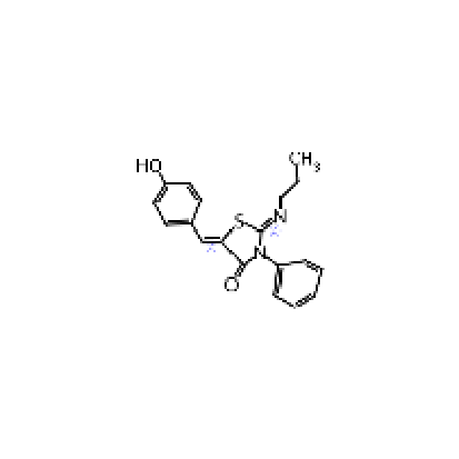 CCC/N=C1\S/C(=C\c2ccc(O)cc2)C(=O)N1c1ccccc1